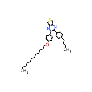 CCCCCCCCCCCCOc1ccc(-c2nc3cscc3nc2-c2ccc(CCCC)cc2)cc1